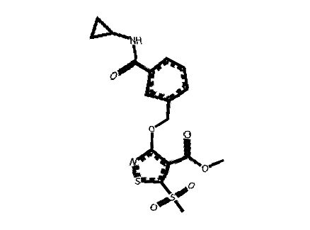 COC(=O)c1c(OCc2cccc(C(=O)NC3CC3)c2)nsc1S(C)(=O)=O